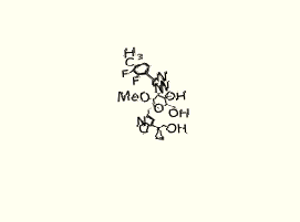 CO[C@@H]1[C@@H](n2cc(-c3ccc(C)c(F)c3F)nn2)[C@@H](O)[C@@H](CO)O[C@@H]1Cc1cc(C2(CO)CC2)on1